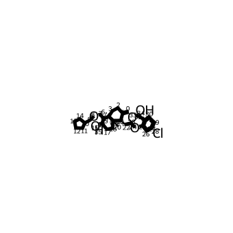 C=C1CCC2[C@]3(C)COC(C4CCCC4)O[C@@H]3CC[C@@]2(C)[C@@H]1CCOc1cc(Cl)ccc1C(=O)O